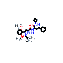 COc1cccc(OC)c1-c1cc(C(=O)NC(CCc2ccccc2)C(=O)NC2CCC2)nn1CC(C)C